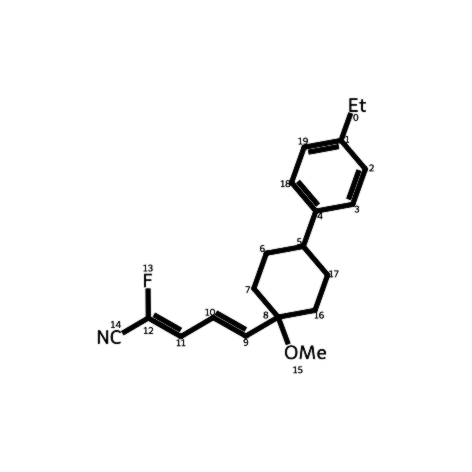 CCc1ccc(C2CCC(C=CC=C(F)C#N)(OC)CC2)cc1